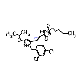 CCCCCS(=O)(=O)NC(=O)/C=C/c1cc(OC(C)C)nn1Cc1ccc(Cl)cc1Cl